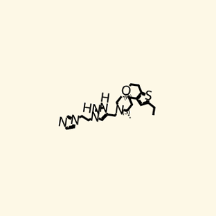 CCc1cc2c(s1)CCO[C@@]21CCN(CC2=CN(CCn3ccnc3)NN2)[C@@H](C)C1